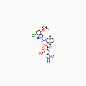 COc1ccc(Cl)c2[nH]c(C(=O)N3C[C@@H]4CCC[C@@H]4[C@H]3C(=O)N[C@@H](C[C@@H]3CCNC3=O)C(=O)CO)cc12